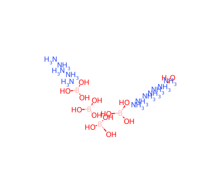 N.N.N.N.N.N.N.N.N.N.N.N.O.OB(O)O.OB(O)O.OB(O)O.OB(O)O